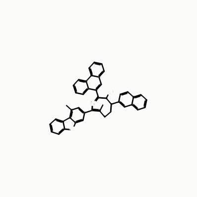 CCC1/C(c2cc3ccccc3c3ccccc23)=N\C(c2cc(C)c3c(c2)oc2ccccc23)=C(/C)CCC1c1ccc2ccccc2c1